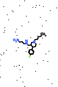 CCCCCN1CCC(c2ccc(F)cc2)C(CNCCCN)C1